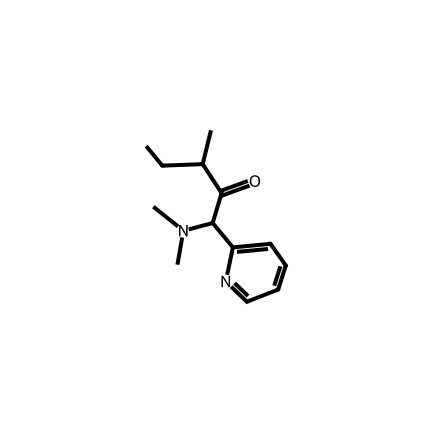 CCC(C)C(=O)C(c1ccccn1)N(C)C